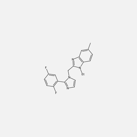 CCn1c(Cn2ccnc2-c2cc(F)ccc2F)nc2cc(C)ccc21